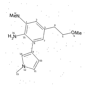 CNc1cc(CCOC)cc(-c2ccn(C)c2)c1N